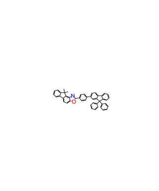 CC1(C)c2ccccc2-c2ccc3oc(-c4ccc(-c5ccc6c(c5)C(c5ccccc5)(c5ccccc5)c5ccccc5-6)cc4)nc3c21